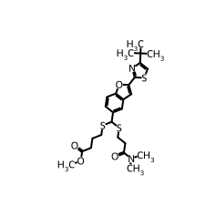 COC(=O)CCCSC(SCCC(=O)N(C)C)c1ccc2oc(-c3nc(C(C)(C)C)cs3)cc2c1